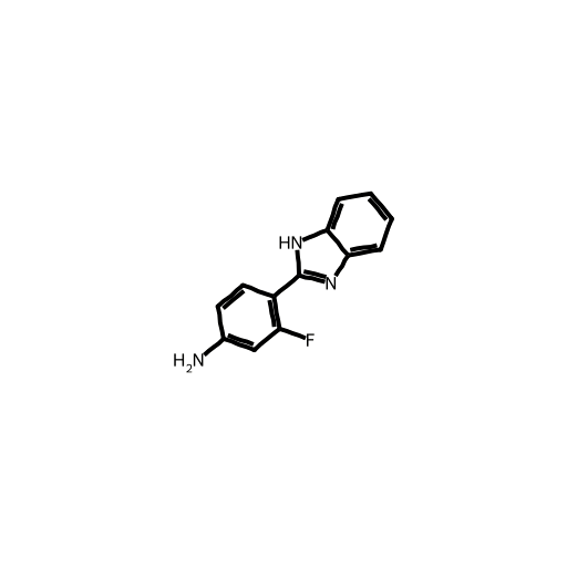 Nc1ccc(-c2nc3ccccc3[nH]2)c(F)c1